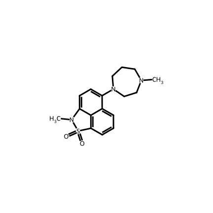 CN1CCCN(c2ccc3c4c(cccc24)S(=O)(=O)N3C)CC1